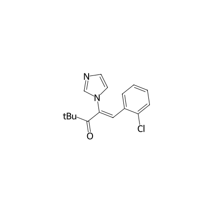 CC(C)(C)C(=O)C(=Cc1ccccc1Cl)n1ccnc1